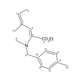 C/C=C(C)\C=C(\C(=O)OCC)N(C)Cc1ccc(C)cc1